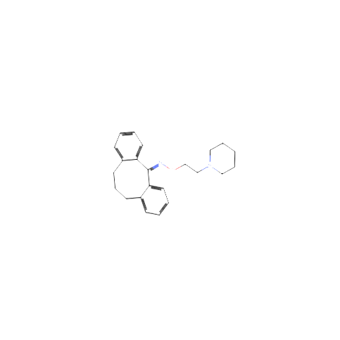 c1ccc2c(c1)CCCc1ccccc1C2=NOCCN1CCCCC1